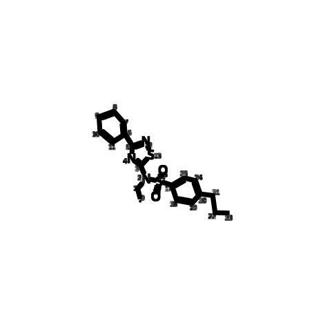 [CH2]CN(c1nc(-c2ccccc2)ns1)S(=O)(=O)c1ccc(CCC)cc1